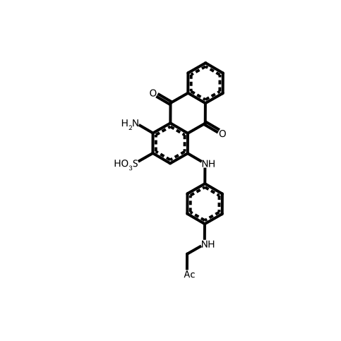 CC(=O)CNc1ccc(Nc2cc(S(=O)(=O)O)c(N)c3c2C(=O)c2ccccc2C3=O)cc1